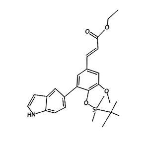 CCOC(=O)C=Cc1cc(OC)c(O[Si](C)(C)C(C)(C)C)c(-c2ccc3[nH]ccc3c2)c1